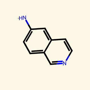 [NH]c1ccc2cnccc2c1